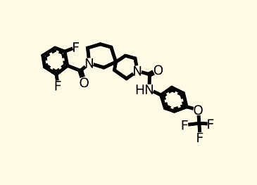 O=C(Nc1ccc(OC(F)(F)F)cc1)N1CCC2(CCCN(C(=O)c3c(F)cccc3F)C2)CC1